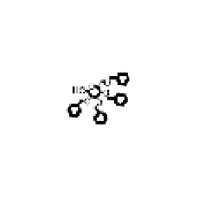 O[C@H]1O[C@H](COCc2ccccc2)[C@@H](OCc2ccccc2)[C@H](OCc2ccccc2)[C@H]1OCc1ccccc1